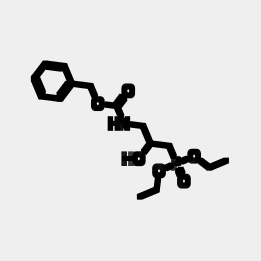 CCOP(=O)(CC(O)CNC(=O)OCc1ccccc1)OCC